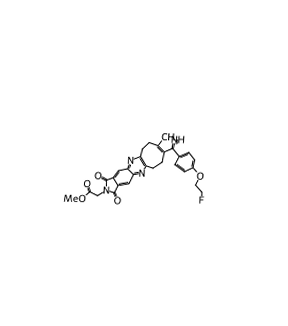 COC(=O)CN1C(=O)c2cc3nc4c(nc3cc2C1=O)CC/C(C(=N)c1ccc(OCCF)cc1)=C(/C)CC4